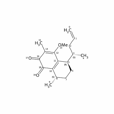 C=CC[C@H](C)[C@H]1CC[C@H](C)C2=C1C(OC)=C(C)C(=O)C2=O